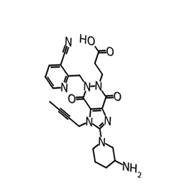 CC#CCn1c(N2CCCC(N)C2)nc2c(=O)n(CCC(=O)O)n(Cc3ncccc3C#N)c(=O)c21